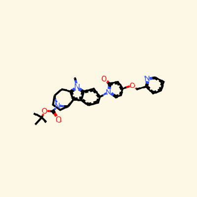 Cn1c2c(c3ccc(-n4ccc(OCc5ccccn5)cc4=O)cc31)C1CCC(C2)N1C(=O)OC(C)(C)C